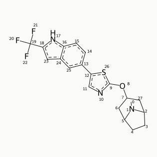 CN1C2CCC1CC(Oc1ncc(-c3ccc4[nH]c(C(F)(F)F)cc4c3)s1)C2